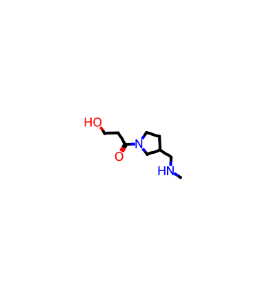 CNCC1CCN(C(=O)CCO)C1